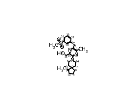 Cc1nc(N2CCC3(CCC[C@H]3C)CC2)c(CO)nc1Sc1cccc(S(C)(=O)=O)c1